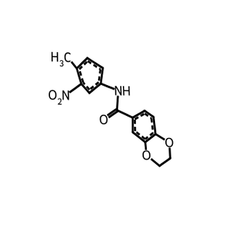 Cc1ccc(NC(=O)c2ccc3c(c2)OCCO3)cc1[N+](=O)[O-]